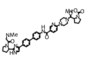 CNCC(=O)N1CCCC1c1nc(-c2ccc(-c3ccc(NC(=O)c4ccc(N5CCN(C(=O)C6CCCN6C(=O)OC)CC5)nc4)cc3)cc2)c[nH]1